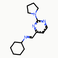 C(=NC1CCCCC1)c1ccnc(N2CCCC2)n1